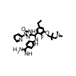 CCc1cc(OCC(C)(C)CN(C)C)c(F)c(C(Nc2ccc(C(=N)N)cc2)c2nn(-c3ccccn3)c(=O)[nH]2)c1